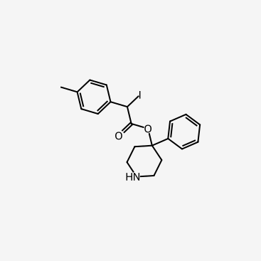 Cc1ccc(C(I)C(=O)OC2(c3ccccc3)CCNCC2)cc1